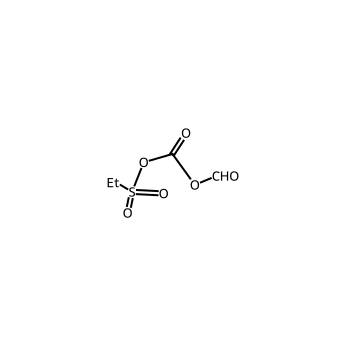 CCS(=O)(=O)OC(=O)OC=O